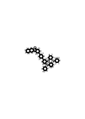 c1ccc(N2c3ccccc3B3c4cc(-c5ccc(-c6ccc7oc8cc9ccccc9cc8c7c6)cc5)ccc4N(c4ccccc4)c4cccc2c43)cc1